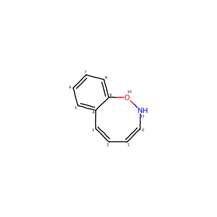 [c]1cccc2ccccc2o[nH]1